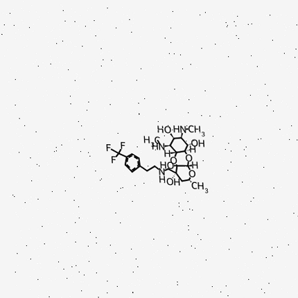 CN[C@@H]1[C@H](O)[C@H](NC)[C@H]2O[C@]3(O)[C@H](O[C@@H]2[C@H]1O)O[C@H](C)C[C@@]3(O)CNCCc1ccc(C(F)(F)F)cc1